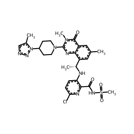 Cc1cc([C@@H](C)Nc2ccc(Cl)nc2C(=O)NS(C)(=O)=O)c2nc(N3CCC(n4nncc4C)CC3)n(C)c(=O)c2c1